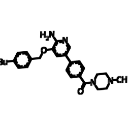 CN1CCN(C(=O)c2ccc(-c3cnc(N)c(OCc4ccc(C(C)(C)C)cc4)c3)cc2)CC1